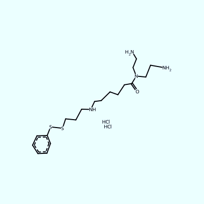 Cl.Cl.NCCN(CCN)C(=O)CCCCCNCCCSSc1ccccc1